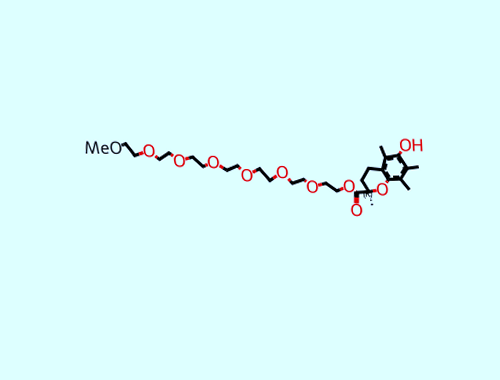 COCCOCCOCCOCCOCCOCCOCCOC(=O)[C@@]1(C)CCc2c(C)c(O)c(C)c(C)c2O1